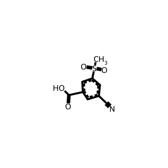 CS(=O)(=O)c1cc(C#N)cc(C(=O)O)c1